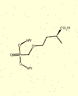 CCCOP(=O)(COCC[C@H](C)C(=O)O)OCCC